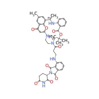 Cc1cc([C@@H](C)Nc2ccccc2C(=O)OC(C)(C)C)c2oc(N3CCN(C(=O)CCNc4cccc5c4C(=O)N(C4CCC(=O)NC4=O)C5=O)CC3)cc(=O)c2c1